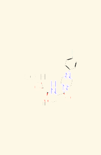 CC(C)C[C@H](NC(=O)[C@H]1O[C@@H]1C(=O)O)C(=O)N1CCN(c2ccc(F)cc2)CC1